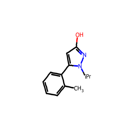 Cc1ccccc1-c1cc(O)nn1C(C)C